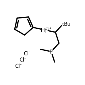 CP(C)C[CH]([Hf+3][C]1=CC=CC1)C(C)(C)C.[Cl-].[Cl-].[Cl-]